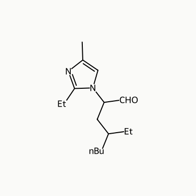 CCCCC(CC)CC(C=O)n1cc(C)nc1CC